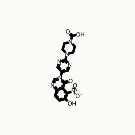 O=C(O)N1CCN(c2ncc(-n3cnc4ccc(O)c([N+](=O)[O-])c4c3=O)cn2)CC1